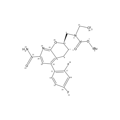 CC(C)(C)OC(=O)N(C[C@H]1CCc2c(-c3ccc(F)cc3F)cc(C(N)=O)nc2O1)CC(F)(F)F